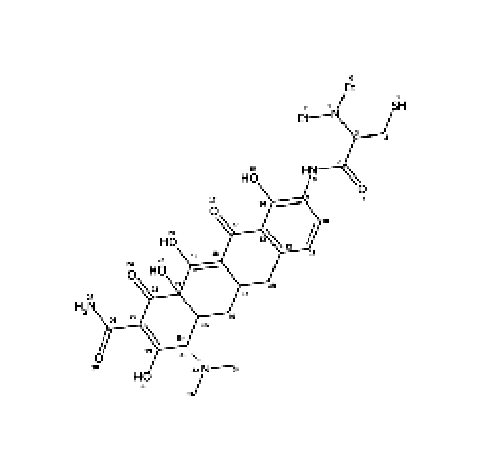 CCN(CC)C(CS)C(=O)Nc1ccc2c(c1O)C(=O)C1=C(O)C3(O)C(=O)C(C(N)=O)=C(O)[C@@H](N(C)C)C3CC1C2